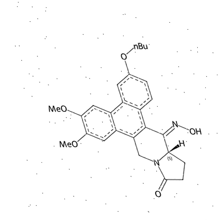 CCCCOc1ccc2c3c(c4cc(OC)c(OC)cc4c2c1)CN1C(=O)CC[C@H]1C3=NO